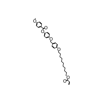 C=CC(=O)OCCCCCCCCCCCOc1ccc(COc2ccc(OC(=O)c3ccc(OC)cc3)cc2)cc1